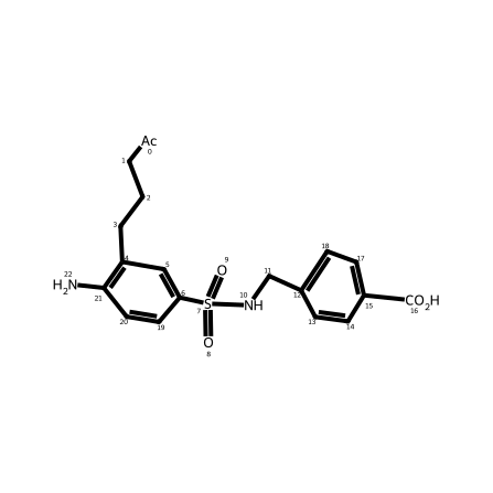 CC(=O)CCCc1cc(S(=O)(=O)NCc2ccc(C(=O)O)cc2)ccc1N